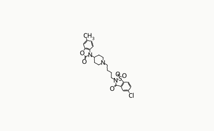 Cc1ccc2c(c1)oc(=O)n2C1CCN(CCCCN2C(=O)c3cc(Cl)ccc3S2(=O)=O)CC1